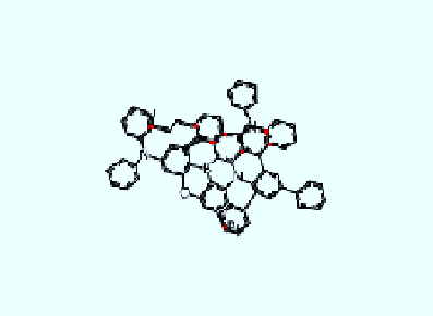 C=C(/C=C\C=C/C)c1cc(N(c2ccccc2)c2ccccc2)cc2c1B1c3c(cc(N(c4ccccc4)c4ccccc4)cc3-c3ccccc3)Oc3cc(C(C)(C)C)cc(c31)N2c1c(-c2ccccc2)cc(-c2ccccc2)cc1-c1ccccc1